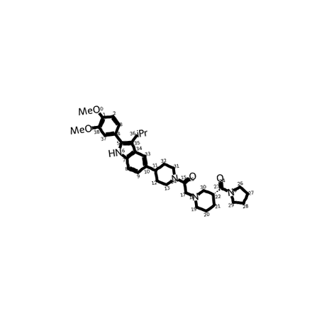 COc1ccc(-c2[nH]c3ccc(C4CCN(C(=O)CN5CCC[C@@H](C(=O)N6CCCC6)C5)CC4)cc3c2C(C)C)cc1OC